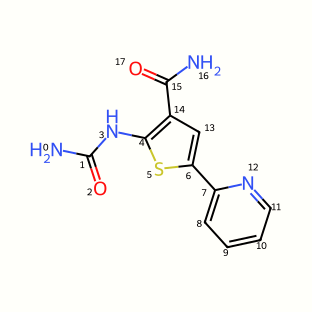 NC(=O)Nc1sc(-c2ccccn2)cc1C(N)=O